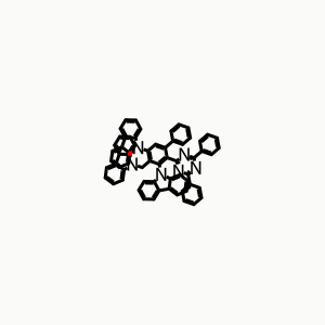 c1ccc(-c2nc(-c3ccccc3)nc(-c3c(-c4ccccc4)cc(-n4c5ccccc5c5ccccc54)c(Cn4c5ccccc5c5ccccc54)c3-n3c4ccccc4c4ccccc43)n2)cc1